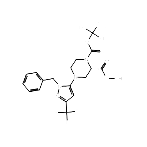 COC(=O)[C@@H]1CN(c2cc(C(F)(F)F)nn2Cc2ccccc2)CCN1C(=O)OC(C)(C)C